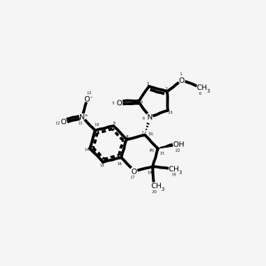 COC1=CC(=O)N([C@H]2c3cc([N+](=O)[O-])ccc3OC(C)(C)[C@@H]2O)C1